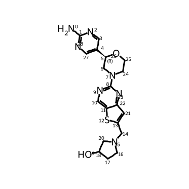 Nc1ncc([C@@H]2CN(c3ncc4sc(CN5CCC(O)C5)cc4n3)CCO2)cn1